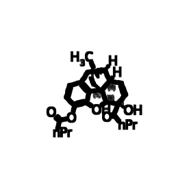 CCCC(=O)Oc1ccc2c3c1O[C@@H]1[C@]34CCN(C)[C@H](C2)[C@@H]4C=C[C@@]1(O)C(=O)CCC